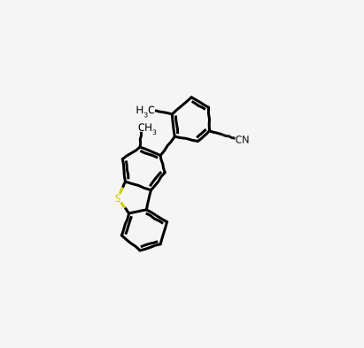 Cc1ccc(C#N)cc1-c1cc2c(cc1C)sc1ccccc12